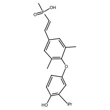 Cc1cc(/C=C/P(C)(=O)O)cc(C)c1Oc1ccc(O)c(C(C)C)c1